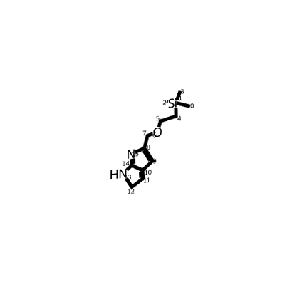 C[Si](C)(C)CCOCC1=CC2=CCNC2=N1